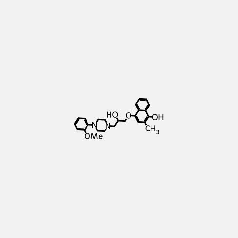 COc1ccccc1N1CCN(CC(O)COc2cc(C)c(O)c3ccccc23)CC1